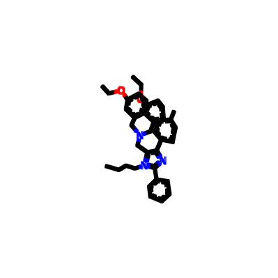 CCCCn1c(-c2ccccc2)nc(-c2ccc(C)cc2)c1CN(Cc1cccc(OCC)c1)Cc1cccc(OCC)c1